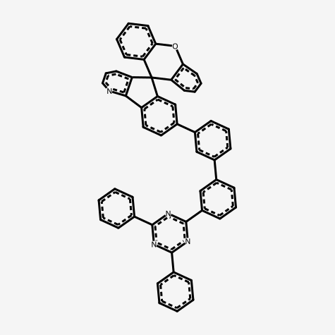 c1ccc(-c2nc(-c3ccccc3)nc(-c3cccc(-c4cccc(-c5ccc6c(c5)C5(c7ccccc7Oc7ccccc75)c5cccnc5-6)c4)c3)n2)cc1